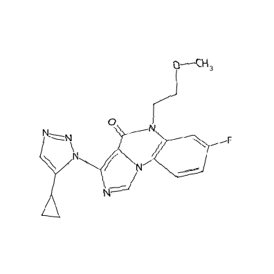 COCCn1c(=O)c2c(-n3nncc3C3CC3)ncn2c2ccc(F)cc21